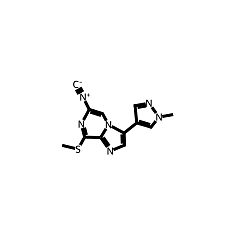 [C-]#[N+]c1cn2c(-c3cnn(C)c3)cnc2c(SC)n1